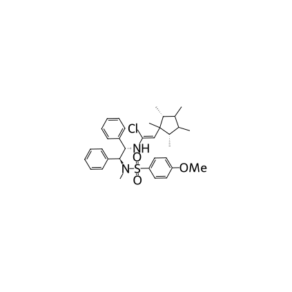 COc1ccc(S(=O)(=O)N(C)[C@@H](c2ccccc2)[C@@H](N/C(Cl)=C/C2(C)[C@H](C)C(C)C(C)[C@@H]2C)c2ccccc2)cc1